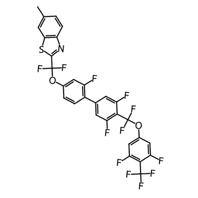 Cc1ccc2nc(C(F)(F)Oc3ccc(-c4cc(F)c(C(F)(F)Oc5cc(F)c(C(F)(F)F)c(F)c5)c(F)c4)c(F)c3)sc2c1